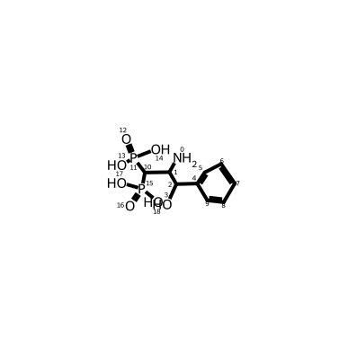 NC(C(O)c1ccccc1)C(P(=O)(O)O)P(=O)(O)O